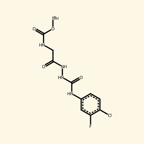 CC(C)(C)OC(=O)NCC(=O)NNC(=O)Nc1ccc(Cl)c(F)c1